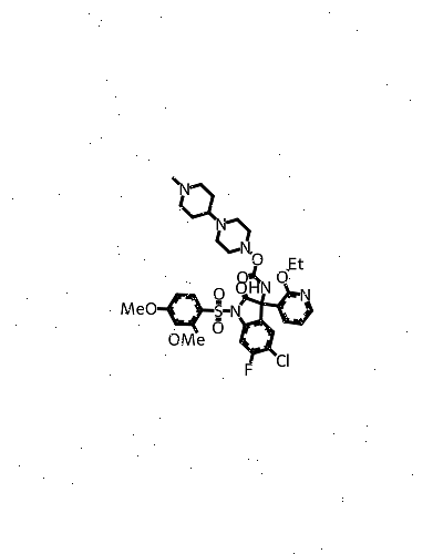 CCOc1ncccc1C1(NC(=O)ON2CCN(C3CCN(C)CC3)CC2)C(=O)N(S(=O)(=O)c2ccc(OC)cc2OC)c2cc(F)c(Cl)cc21